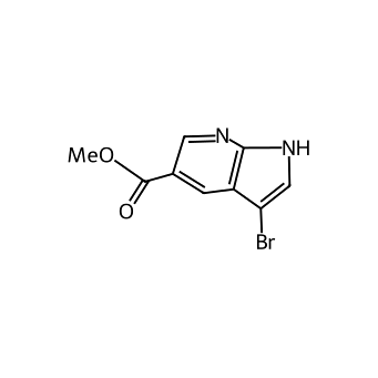 COC(=O)c1cnc2[nH]cc(Br)c2c1